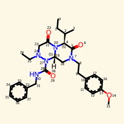 CCC(C)[C@H]1C(=O)N(CCc2ccc(OC)cc2)C[C@H]2N1C(=O)CN(CC)N2C(=O)NCc1ccccc1